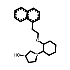 O[C@@H]1CCN(C2CCCCC2OCCc2cccc3ccccc23)C1